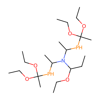 CCOC(CC)N(C(C)PC(C)(OCC)OCC)C(C)PC(C)(OCC)OCC